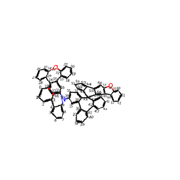 c1ccc(-c2ccccc2N(c2ccc3c(c2)-c2ccccc2Oc2ccccc2-3)c2ccc3c(c2)-c2ccccc2-c2ccccc2C32c3ccccc3-c3cc4oc5ccccc5c4cc32)cc1